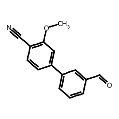 COc1cc(-c2cccc(C=O)c2)ccc1C#N